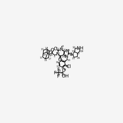 Cn1c(=O)n(CC(=O)C23CC4CC(CC(C4)C2)C3)c(=O)c2c1nc(N1CCC3CNCC31)n2Cc1ccccc1Cl.O=C(O)C(F)(F)F